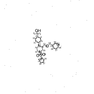 CC(C)(O)c1ccc(N2CCN(S(=O)(=O)c3cccs3)CC2COCc2cccnc2)cc1